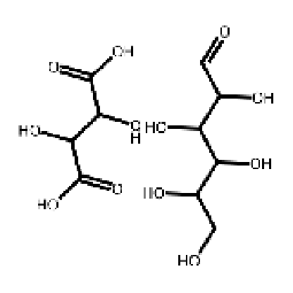 O=C(O)C(O)C(O)C(=O)O.O=CC(O)C(O)C(O)C(O)CO